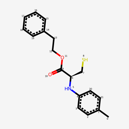 Cc1ccc(N[C@H](CS)C(=O)OCCc2ccccc2)cc1